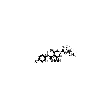 Cc1ccc(NC(=N)C2=C(O)CN(C(=O)OC(C)(C)C)CC2=O)cc1